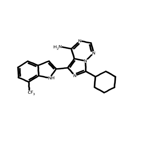 Nc1ncnn2c(C3CCCCC3)nc(-c3cc4cccc(C(F)(F)F)c4[nH]3)c12